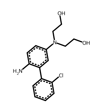 Nc1ccc(N(CCO)CCO)cc1-c1ccccc1Cl